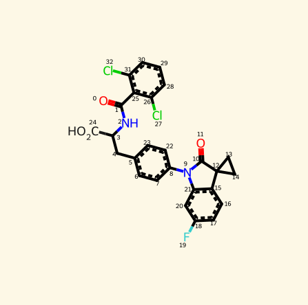 O=C(NC(Cc1ccc(N2C(=O)C3(CC3)c3ccc(F)cc32)cc1)C(=O)O)c1c(Cl)cccc1Cl